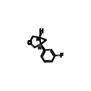 Fc1cccc([C@@]23COC[C@@H]2C3)c1